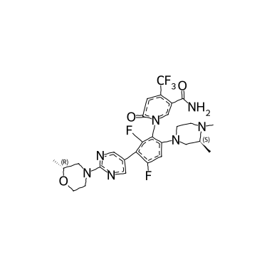 C[C@@H]1CN(c2ncc(-c3c(F)cc(N4CCN(C)[C@@H](C)C4)c(-n4cc(C(N)=O)c(C(F)(F)F)cc4=O)c3F)cn2)CCO1